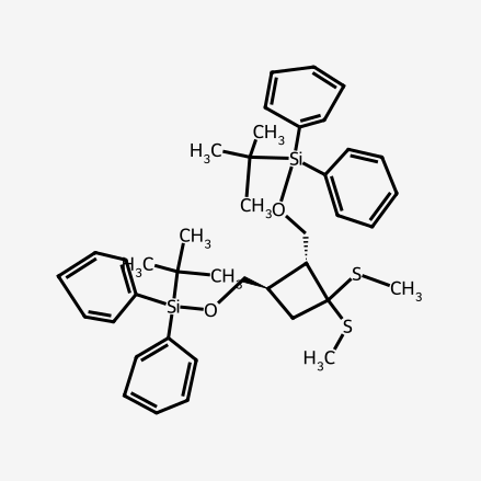 CSC1(SC)C[C@@H](CO[Si](c2ccccc2)(c2ccccc2)C(C)(C)C)[C@@H]1CO[Si](c1ccccc1)(c1ccccc1)C(C)(C)C